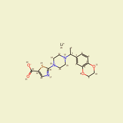 CC(c1ccc2c(c1)OCCO2)N1CCN(c2ncc(C(=O)[O-])s2)CC1.[Li+]